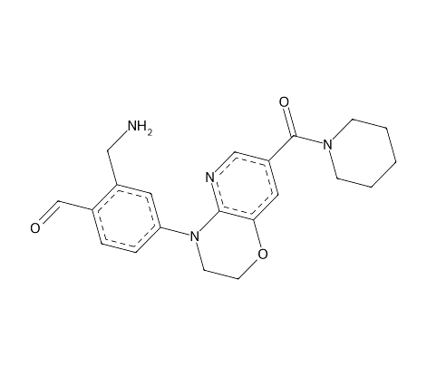 NCc1cc(N2CCOc3cc(C(=O)N4CCCCC4)cnc32)ccc1C=O